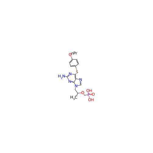 CCCOc1ccc(Sc2nc(N)nc3c2ncn3CC(C)OCP(=O)(O)O)cc1